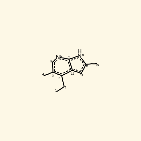 CCc1c(C)cnc2[nH]c(C)cc12